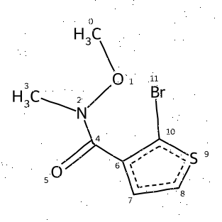 CON(C)C(=O)c1ccsc1Br